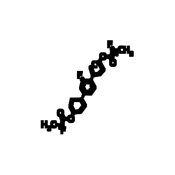 C[C@H](F)C(=O)O[C@H]1CC[C@H](c2ccc([C@H]3CC[C@H](OC(=O)[C@H](C)F)CC3)c(F)c2)CC1